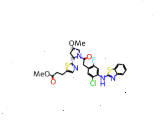 COC(=O)CCc1cnc([C@@H]2C[C@H](OC)CN2C(=O)Cc2cc(Cl)c(Nc3nc4ccccc4s3)cc2F)s1